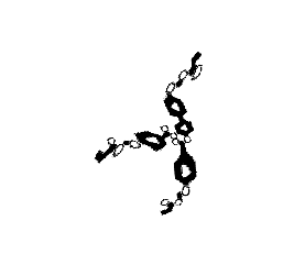 C=CC(=O)OCOc1ccc(C(=O)Oc2ccc(-c3ccc(OCOC(=O)C=C)cc3)cc2OC(=O)c2ccc(OCOC(=O)C=C)cc2)cc1